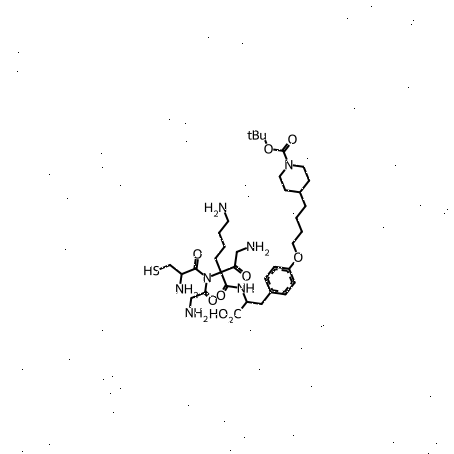 CC(C)(C)OC(=O)N1CCC(CCCCOc2ccc(CC(NC(=O)C(CCCCN)(C(=O)CN)N(C(=O)CN)C(=O)C(N)CS)C(=O)O)cc2)CC1